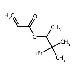 C=CC(=O)OC(C)C(C)(C)C(C)C